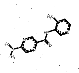 Cc1ccncc1NC(=O)c1cnc(N(C)C(C)C)cn1